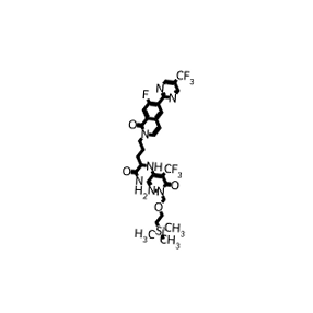 C[Si](C)(C)CCOCn1ncc(NC(CCCn2ccc3cc(-c4ncc(C(F)(F)F)cn4)c(F)cc3c2=O)C(N)=O)c(C(F)(F)F)c1=O